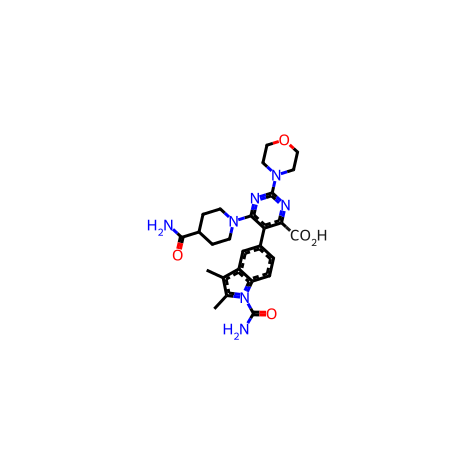 Cc1c(C)n(C(N)=O)c2ccc(-c3c(C(=O)O)nc(N4CCOCC4)nc3N3CCC(C(N)=O)CC3)cc12